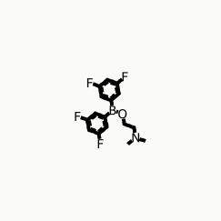 CN(C)CCOB(c1cc(F)cc(F)c1)c1cc(F)cc(F)c1